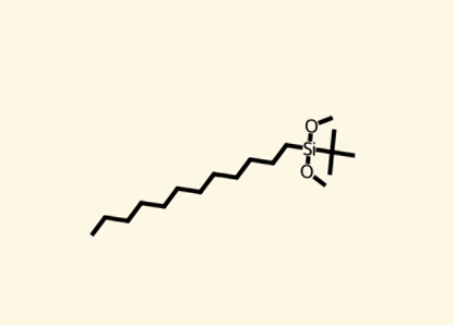 CCCCCCCCCCCC[Si](OC)(OC)C(C)(C)C